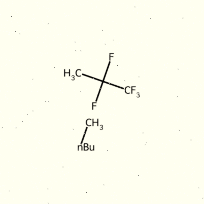 CC(F)(F)C(F)(F)F.CCCCC